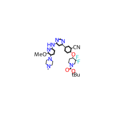 COc1nc(Nc2cc(-c3ccc(OC4CCN(C(=O)OC(C)(C)C)CC4(F)F)c(C#N)c3)ncn2)ccc1N1CCN(C)CC1